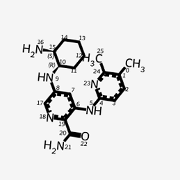 Cc1ccc(Nc2cc(N[C@@H]3CCCC[C@@H]3N)cnc2C(N)=O)nc1C